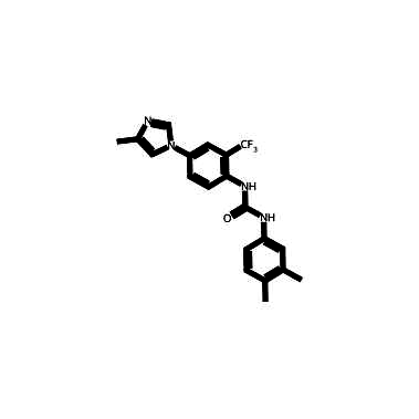 Cc1cn(-c2ccc(NC(=O)Nc3ccc(C)c(C)c3)c(C(F)(F)F)c2)cn1